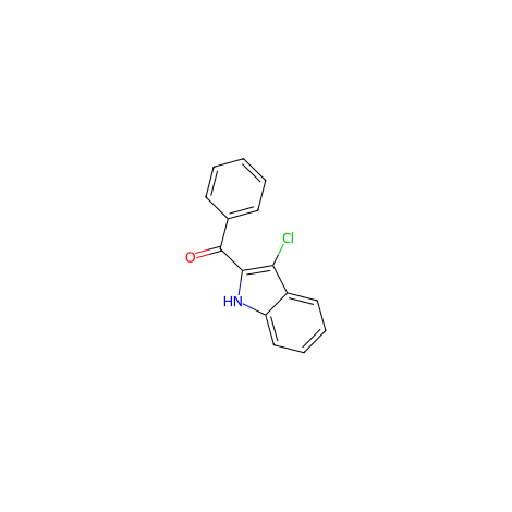 O=C(c1ccccc1)c1[nH]c2ccccc2c1Cl